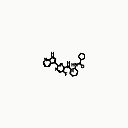 O=C(NC1CCCC[C@H]1Nc1nc(-c2c[nH]c3ncccc23)ncc1F)C1CCCC1